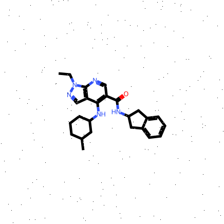 CCn1ncc2c(NC3CCCC(C)C3)c(C(=O)NC3Cc4ccccc4C3)cnc21